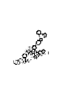 Cc1ccccc1[C@@H]1CCCN1C1CC2(CCN(c3ccc(C(=O)NS(=O)(=O)c4ccc(NC[C@H]5COCCO5)c([N+](=O)[O-])c4)c(N4c5cc6cc[nH]c6nc5O[C@@H]5COC[C@H]54)c3)CC2)C1